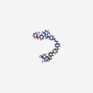 Nc1ncnc2c1c(-c1ccc(Oc3ccccc3)cc1)nn2C1CCN(CCCN2CCC(CN3CCC(c4ccc5c(c4)oc(=O)n5C4CCC(=O)NC4=O)CC3)CC2)CC1